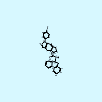 C[C@]12Cc3cnn(-c4ccc(F)cc4)c3C=C1CC[C@@H]2C(=O)NC(Cc1ccccc1)c1ccccc1